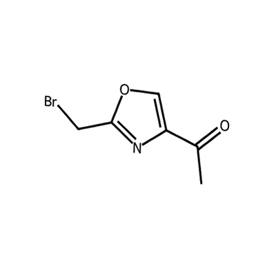 CC(=O)c1coc(CBr)n1